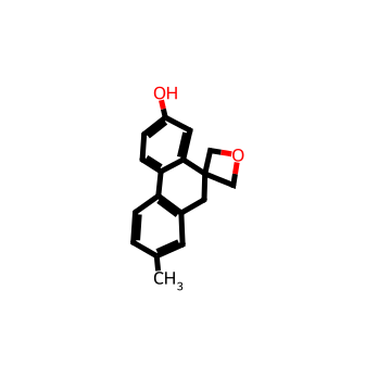 Cc1ccc2c(c1)CC1(COC1)c1cc(O)ccc1-2